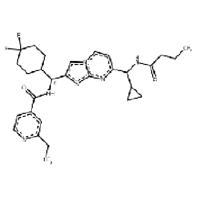 O=C(CCC(F)(F)F)NC(c1ccn2cc([C@@H](NC(=O)c3ccnc(CC(F)(F)F)c3)C3CCC(F)(F)CC3)nc2n1)C1CC1